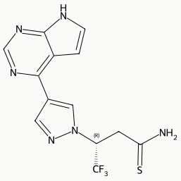 NC(=S)C[C@@H](n1cc(-c2ncnc3[nH]ccc23)cn1)C(F)(F)F